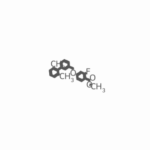 COC(=O)c1ccc(OCc2cccc(-c3c(C)cccc3C)c2)cc1F